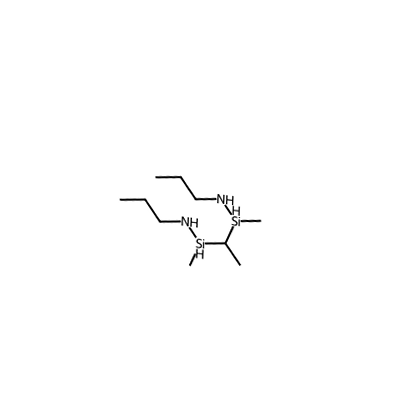 CCCN[SiH](C)C(C)[SiH](C)NCCC